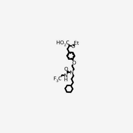 CCOC(Cc1ccc(OCCN(CCCC2CCCCC2)C(=O)NCC(F)(F)F)cc1)C(=O)O